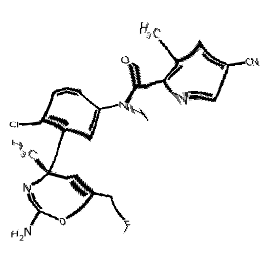 Cc1cc(C#N)cnc1C(=O)Nc1ccc(Cl)c([C@]2(C)C=C(CF)OC(N)=N2)c1